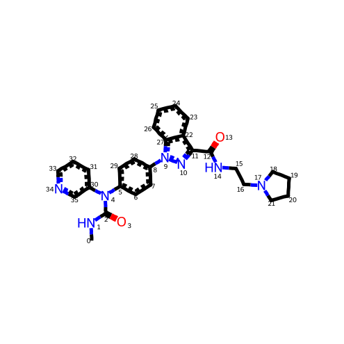 CNC(=O)N(c1ccc(-n2nc(C(=O)NCCN3CCCC3)c3ccccc32)cc1)c1cccnc1